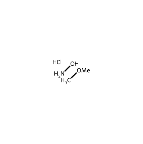 COC.Cl.NO